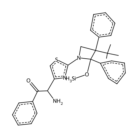 CC(C)(C)C1(c2ccccc2)CN(c2nc(C(N)C(=O)c3ccccc3)cs2)C1(O[SiH3])c1ccccc1